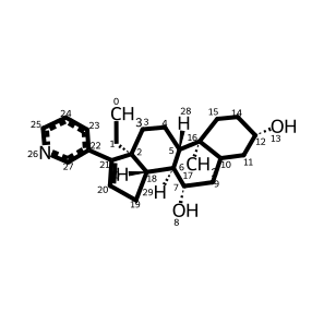 CC[C@]12CC[C@H]3[C@@H]([C@@H](O)CC4C[C@@H](O)CC[C@@]43C)[C@@H]1CC=C2c1cccnc1